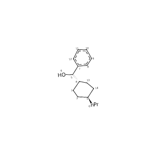 CCC[C@H]1CC[C@H](C(O)c2ccccc2)CC1